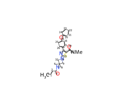 C/C=C/C(=O)N1CC2(C1)CN(c1nc(-c3ccc(Oc4ccccc4)cc3)c(C(=O)NC)s1)C2